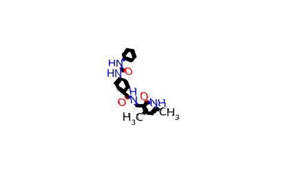 Cc1cc(C)c(CNC(=O)c2ccc(NC(=O)Nc3ccccc3)cc2)c(=O)[nH]1